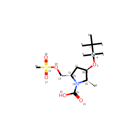 C[C@H]1[C@H](O[Si](C)(C)C(C)(C)C)C[C@@H](COS(C)(=O)=O)N1C(=O)O